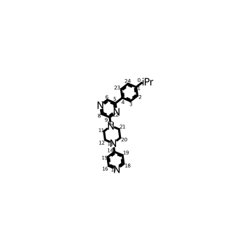 CC(C)c1ccc(-c2cncc(N3CCN(c4ccncc4)CC3)n2)cc1